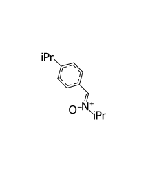 CC(C)c1ccc(C=[N+]([O-])C(C)C)cc1